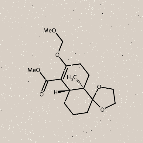 COCOC1=C(C(=O)OC)[C@H]2CCCC3(OCCO3)[C@]2(C)CC1